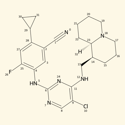 N#Cc1cc(Nc2ncc(Cl)c(NC[C@@H]3CCCN4CCCC[C@H]34)n2)c(F)cc1C1CC1